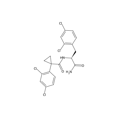 NC(=O)[C@H](Cc1ccc(Cl)cc1Cl)NC(=O)C1(c2ccc(Cl)cc2Cl)CC1